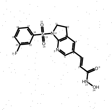 O=C(C=Cc1cnc2c(c1)CCN2S(=O)(=O)c1cccc(F)c1)NO